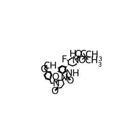 COc1ccc(CN2C(=O)CCC(n3c(=O)[nH]c4c([C@H]5CCN(C(=O)OC(C)(C)C)C[C@@H]5F)cccc43)C2=O)cc1